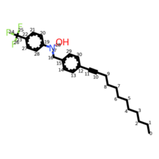 CCCCCCCCCCC#Cc1ccc(CN(O)c2ccc(C(F)(F)F)cc2)cc1